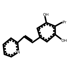 CC(C)c1c(O)cc(/C=C/c2ccccn2)cc1O